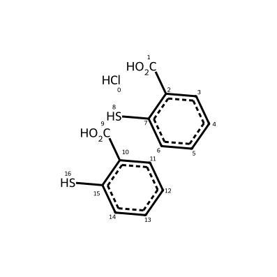 Cl.O=C(O)c1ccccc1S.O=C(O)c1ccccc1S